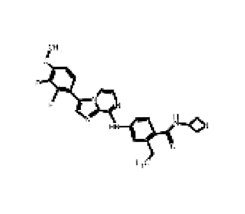 CCc1cc(Nc2nccn3c(-c4ccc(OC)c(F)c4F)cnc23)ccc1C(=O)NC1CNC1